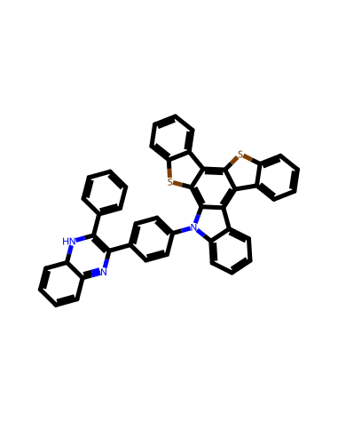 C1=CC2=NC(c3ccc(-n4c5ccccc5c5c6c7ccccc7sc6c6c7ccccc7sc6c54)cc3)=C(c3ccccc3)NC2C=C1